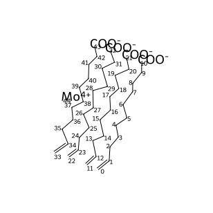 C=CCCCCCCCCC(=O)[O-].C=CCCCCCCCCC(=O)[O-].C=CCCCCCCCCC(=O)[O-].C=CCCCCCCCCC(=O)[O-].[Mo+4]